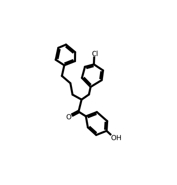 O=C(c1ccc(O)cc1)C(CCCc1ccccc1)Cc1ccc(Cl)cc1